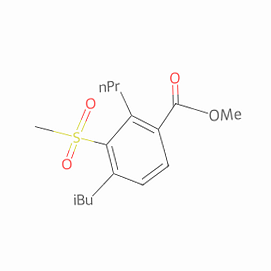 CCCc1c(C(=O)OC)ccc(C(C)CC)c1S(C)(=O)=O